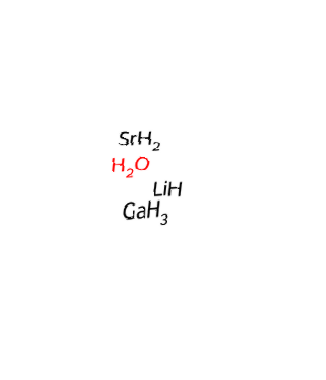 O.[GaH3].[LiH].[SrH2]